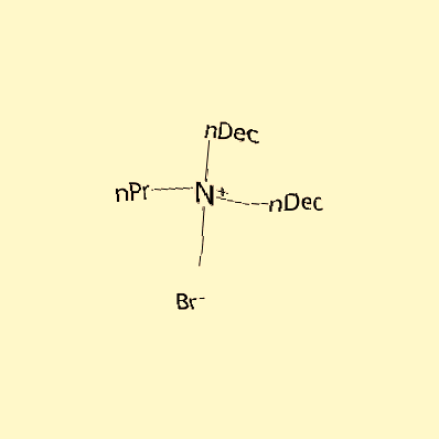 CCCCCCCCCC[N+](C)(CCC)CCCCCCCCCC.[Br-]